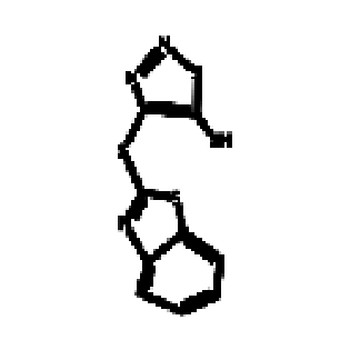 Sc1snnc1Sc1nc2ccccc2s1